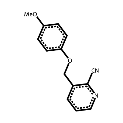 COc1ccc(OCc2cccnc2C#N)cc1